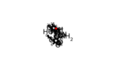 C=CCOc1c(C)c2c(c3c1CC1[C@H]4c5c(cc(C)c(OC)c5O)C[C@H]([C@H](C#N)N1[C@H]3CN)N4C)OCO2